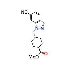 COC(=O)[C@H]1CC[C@H](Cn2ncc3ccc(C#N)cc32)CC1